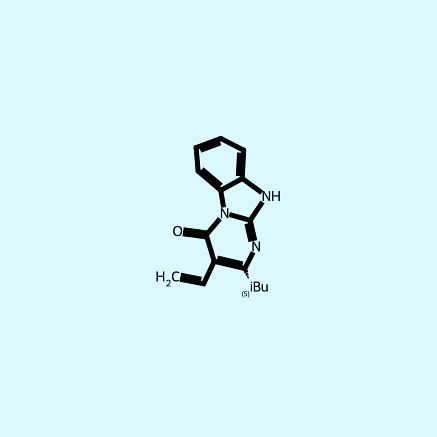 C=Cc1c([C@@H](C)CC)nc2[nH]c3ccccc3n2c1=O